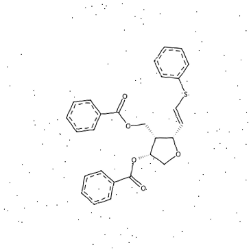 O=C(OC[C@@H]1[C@H](C=CSc2ccccc2)OC[C@@H]1OC(=O)c1ccccc1)c1ccccc1